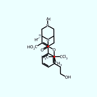 CC(=O)N1CC2CC(c3cccc(CCO)c3)=C(C(=O)O)[C@@H](C1)N2C(=O)OC(C)(C)C(Cl)(Cl)Cl